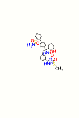 CCSC(=O)NC(=N)c1cccc(CC(NC(=O)O)(c2ccc(-c3ccccc3S(N)(=O)=O)cc2)C2CCCCC2)c1